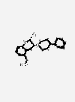 [11CH3]Nc1cccc2c1C[C@@H](N1CCC(c3ccccc3)CC1)[C@H](O)C2